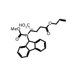 C=CCOC(=O)CC[C@@H](C(=O)O)N(C(=O)OC)C1c2ccccc2-c2ccccc21